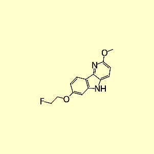 COc1ccc2[nH]c3cc(OCCF)ccc3c2n1